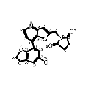 O=C1CCC(=O)N1Cc1cc2nccc(-c3cc(Cl)cc4c3OCC4)c2s1